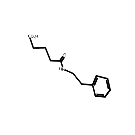 O=C(O)CCCC(=O)NCCc1ccccc1